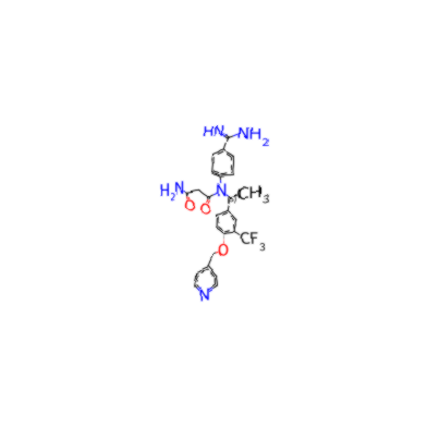 C[C@@H](c1ccc(OCc2ccncc2)c(C(F)(F)F)c1)N(C(=O)CC(N)=O)c1ccc(C(=N)N)cc1